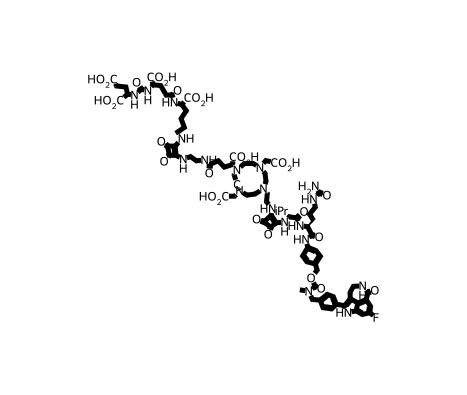 CC(C)[C@H](Nc1c(NCCN2CCN(CC(=O)O)CCN(C(CCC(=O)NCCNc3c(NCCCCC(NC(=O)CCC(NC(=O)NC(CCC(=O)O)C(=O)O)C(=O)O)C(=O)O)c(=O)c3=O)C(=O)O)CCN(CC(=O)O)CC2)c(=O)c1=O)C(=O)N[C@@H](CCCNC(N)=O)C(=O)Nc1ccc(COC(=O)N(C)Cc2ccc(-c3[nH]c4cc(F)cc5c4c3CCNC5=O)cc2)cc1